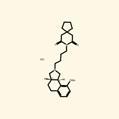 COc1cccc2c1[C@@H]1CN(CCCCN3C(=O)CC4(CCCC4)CC3=O)C[C@H]1CC2.Cl